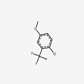 COc1[c]cc(Cl)c(C(F)(F)F)c1